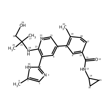 Cc1cnc(-c2cc(-c3cc(C(=O)NC4CC4)ccc3C)cnc2NC(C)(C)CO)[nH]1